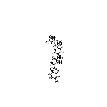 Cc1cc(NS(=O)(=O)c2ccc(NC(=S)NC(=O)COc3ccc(Br)cc3C)cc2)no1